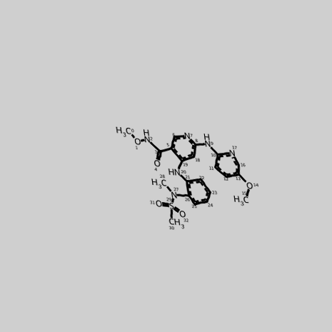 CONC(=O)c1cnc(Nc2ccc(OC)cn2)cc1Nc1ccccc1N(C)S(C)(=O)=O